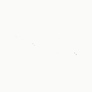 CC(C)(C)OC(=O)N1CCC(Nc2cnc3[nH]cc(C(=O)C4CC4)c3n2)CC1